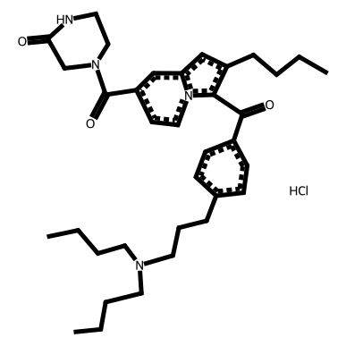 CCCCc1cc2cc(C(=O)N3CCNC(=O)C3)ccn2c1C(=O)c1ccc(CCCN(CCCC)CCCC)cc1.Cl